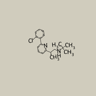 C[C@H](CNC(C)(C)C)c1cccc(-c2ccccc2Cl)n1